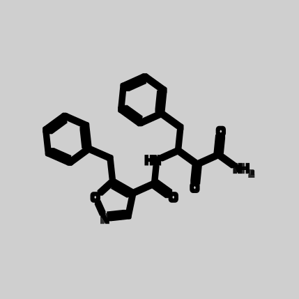 NC(=O)C(=O)C(Cc1ccccc1)NC(=O)c1cnoc1Cc1ccccc1